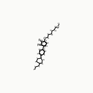 CCCC1CCC(c2ccc(-c3ccc(OCCCCCCOC)c(F)c3F)cc2)CC1